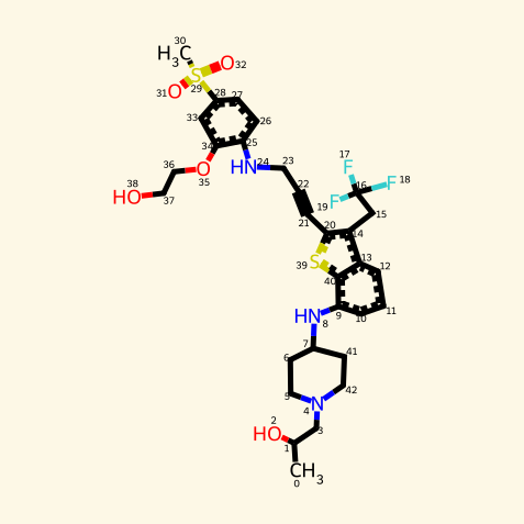 CC(O)CN1CCC(Nc2cccc3c(CC(F)(F)F)c(C#CCNc4ccc(S(C)(=O)=O)cc4OCCO)sc23)CC1